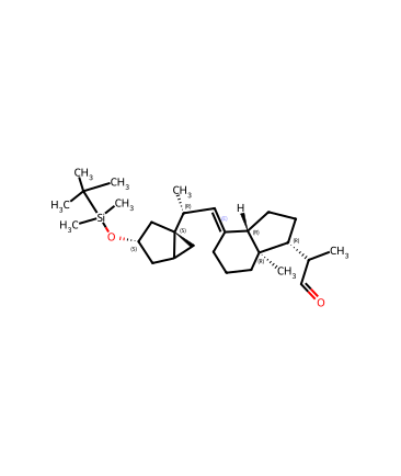 CC(C=O)[C@H]1CC[C@H]2/C(=C/[C@@H](C)[C@]34CC3C[C@H](O[Si](C)(C)C(C)(C)C)C4)CCC[C@]12C